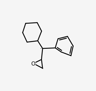 c1ccc([C](C2CCCCC2)C2CO2)cc1